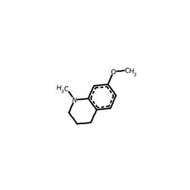 COc1ccc2c(c1)N(C)CCC2